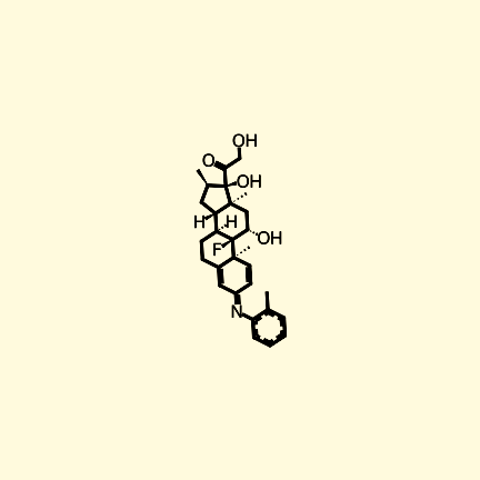 Cc1ccccc1/N=C1\C=C[C@@]2(C)C(=C1)CC[C@H]1[C@@H]3C[C@@H](C)[C@](O)(C(=O)CO)[C@@]3(C)C[C@H](O)[C@@]12F